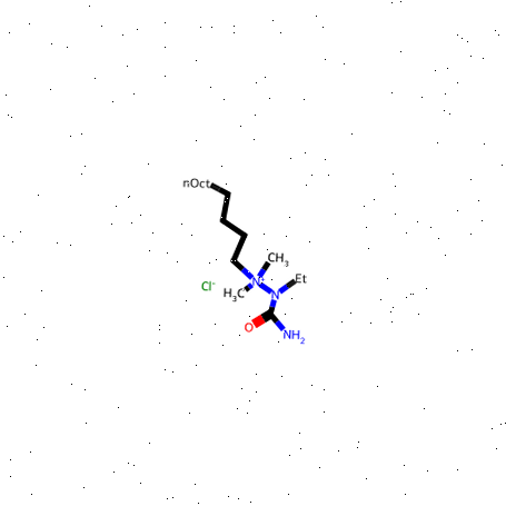 CCCCCCCCCCCC[N+](C)(C)N(CC)C(N)=O.[Cl-]